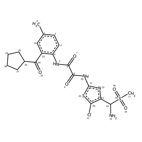 Cc1ccc(NC(=O)C(=O)Nc2nc(C(N)S(C)(=O)=O)c(Cl)s2)c(C(=O)C2CCCC2)c1